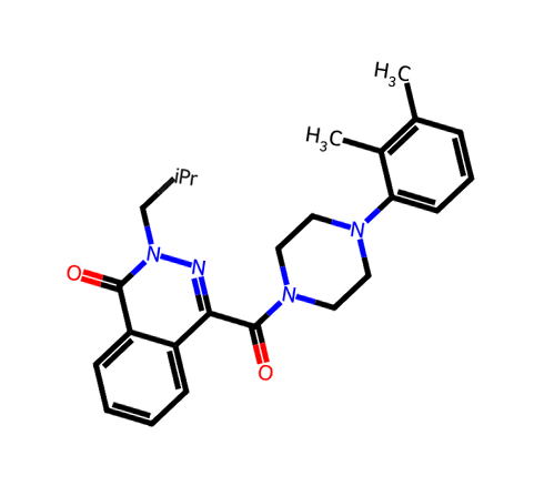 Cc1cccc(N2CCN(C(=O)c3nn(CC(C)C)c(=O)c4ccccc34)CC2)c1C